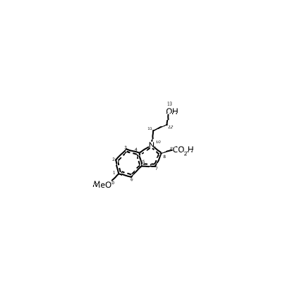 COc1ccc2c(c1)cc(C(=O)O)n2CCO